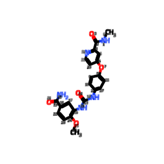 CNC(=O)c1cc(Oc2ccc(NC(=O)Nc3cc(C(N)=O)ccc3OC)cc2)ccn1